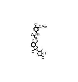 COc1cc(NC(=O)NCc2ccc3c(c2F)CN(C2CCC(=O)NC2=O)C3=O)ccc1Cl